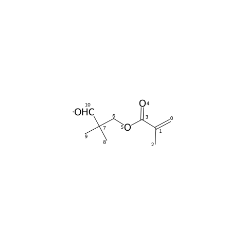 C=C(C)C(=O)OCC(C)(C)[C]=O